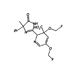 CC(C)C1(C)N=C(C2N=CC(OCF)=CC2(OCF)C(=O)O)NC1=O